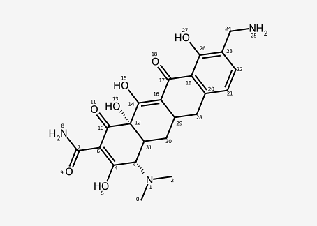 CN(C)[C@@H]1C(O)=C(C(N)=O)C(=O)[C@@]2(O)C(O)=C3C(=O)c4c(ccc(CN)c4O)CC3CC12